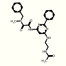 CC(=O)NCCNc1cc(NC(=O)C(=O)N(C)Cc2ccccc2)nc(-c2ccccc2)n1